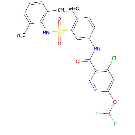 COc1ccc(NC(=O)c2ncc(OC(F)F)cc2Cl)cc1S(=O)(=O)Nc1c(C)cccc1C